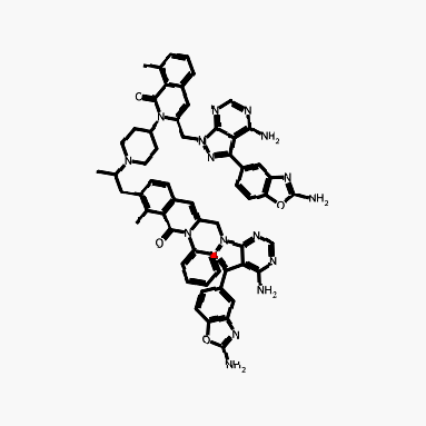 Cc1c(CC(C)N2CCC(n3c(Cn4nc(-c5ccc6oc(N)nc6c5)c5c(N)ncnc54)cc4cccc(C)c4c3=O)CC2)ccc2cc(Cn3nc(-c4ccc5oc(N)nc5c4)c4c(N)ncnc43)n(-c3ccccc3)c(=O)c12